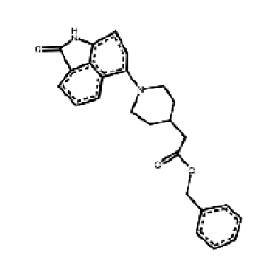 O=C(CC1CCN(c2ccc3c4c(cccc24)C(=O)N3)CC1)OCc1ccccc1